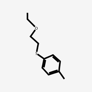 CCOCCSc1ccc(C)cc1